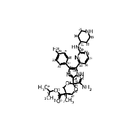 CC(C)OC(=O)C1(C)COC(C(N)=O)(c2nc(-c3ccc(F)cc3)c(-c3ccnc(NC4CCNCC4)n3)[nH]2)OC1